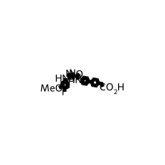 COc1cc(Nc2nnc(C(=O)Nc3ccc(C4CCC(CC(=O)O)CC4)cc3)o2)ccc1F